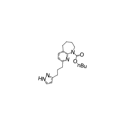 CCCCOC(=O)N1CCCCc2ccc(CCCc3cc[nH]n3)nc21